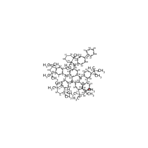 Cc1cc2c(cc1N1c3cc4c(cc3B3c5cc6c(cc5N(c5ccc(C(C)(C)C)cc5-c5ccccc5)c5cc(N7c8ccc(-c9ccccc9)cc8C8(C)CCCCC78C)cc1c53)C(C)(C)CC6(C)C)C(C)(C)CCC4(C)C)C(C)(C)CC2(C)C